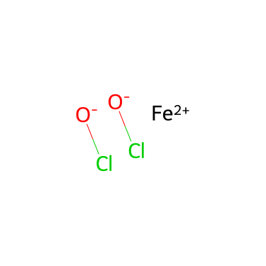 [Fe+2].[O-]Cl.[O-]Cl